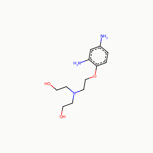 Nc1ccc(OCCN(CCO)CCO)c(N)c1